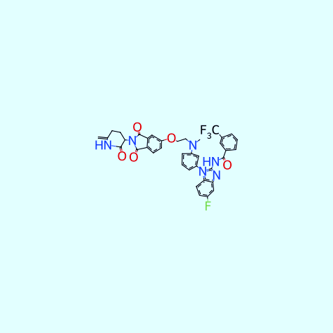 C=C1CCC(N2C(=O)c3ccc(OCCN(C)c4cccc(-n5c(NC(=O)c6cccc(C(F)(F)F)c6)nc6cc(F)ccc65)c4)cc3C2=O)C(=O)N1